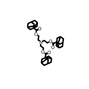 O=C(OCCN(CCOC(=O)C12CC3CC(CC(C3)C1)C2)CCOC(=O)C12CC3CC(CC(C3)C1)C2)C12CC3CC(CC(C3)C1)C2